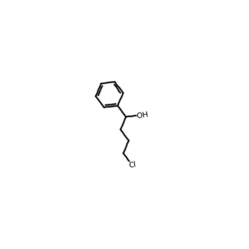 OC(CCCCl)c1ccccc1